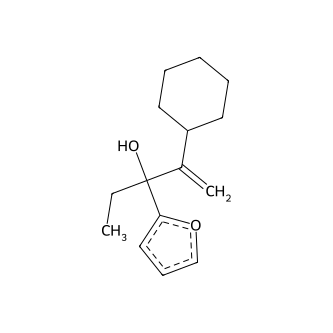 C=C(C1CCCCC1)C(O)(CC)c1ccco1